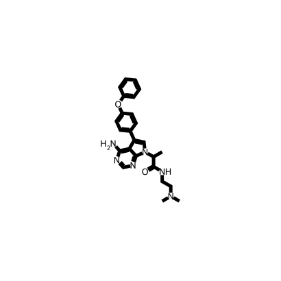 CC(C(=O)NCCN(C)C)n1cc(-c2ccc(Oc3ccccc3)cc2)c2c(N)ncnc21